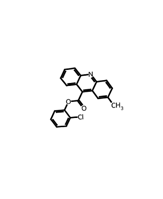 Cc1ccc2nc3ccccc3c(C(=O)Oc3ccccc3Cl)c2c1